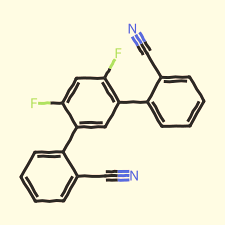 N#Cc1ccccc1-c1cc(-c2ccccc2C#N)c(F)cc1F